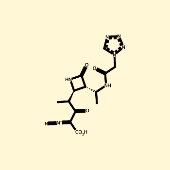 CC(C(=O)C(=[N+]=[N-])C(=O)O)[C@H]1NC(=O)[C@@H]1C(C)NC(=O)Cn1cnnn1